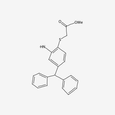 COC(=O)CSc1ccc(C(c2ccccc2)c2ccccc2)cc1[NH]